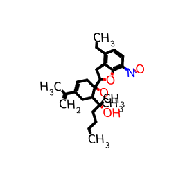 C=C(C)C1=CCC(OC)(C2Cc3c(CC)ccc(N=O)c3O2)C(C(C)(O)CCCC)C1